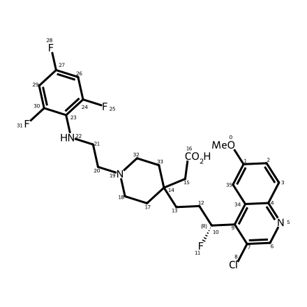 COc1ccc2ncc(Cl)c([C@H](F)CCC3(CC(=O)O)CCN(CCNc4c(F)cc(F)cc4F)CC3)c2c1